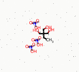 CCC(CO)(CO)CO.O=[N+]([O-])O.O=[N+]([O-])O.O=[N+]([O-])O